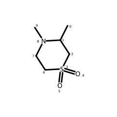 CC1CS(=O)(=O)CCN1C